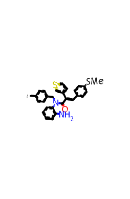 [CH]c1ccc(CN(C(=O)C(=Cc2ccc(SC)cc2)c2ccsc2)c2ccccc2N)cc1